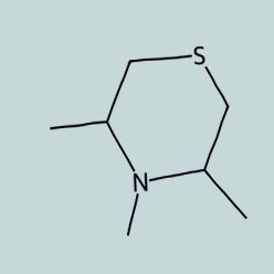 CC1CSCC(C)N1C